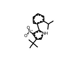 CC(C)c1ccccc1-c1[nH]cc(C(C)(C)C)c1[N+](=O)[O-]